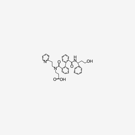 O=C(O)CCN(CCc1ccccn1)C(=O)c1ccccc1-c1ccccc1C(=O)NC(CCO)c1ccccc1